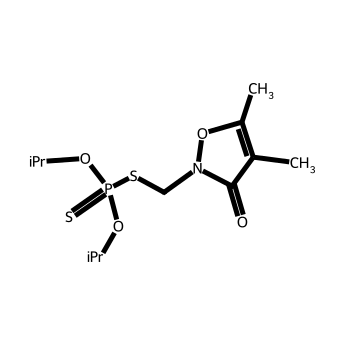 Cc1on(CSP(=S)(OC(C)C)OC(C)C)c(=O)c1C